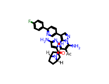 CC(=O)c1c([C@@H]2C[C@H]3CC[C@@H](C2)N3C(=O)c2cc(N)n[nH]2)nc2c(-c3ccc(-c4ccc(F)cc4)nc3)cnn2c1N